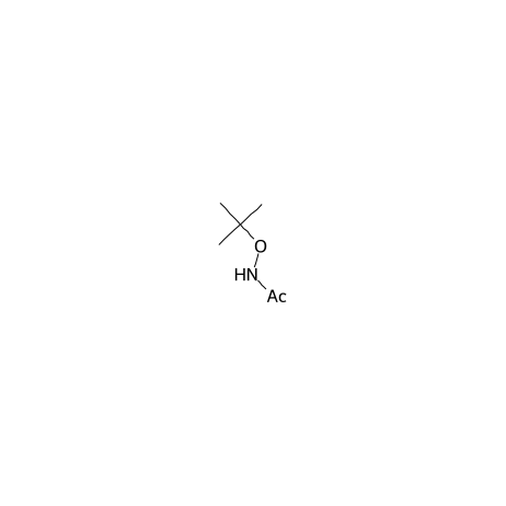 [CH2]C(=O)NOC(C)(C)C